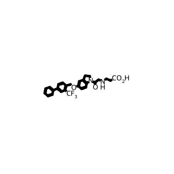 O=C(O)CCNCC(=O)N1CCc2cc(OCc3ccc(-c4ccccc4)cc3C(F)(F)F)ccc21